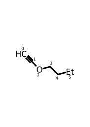 C#COCCCC